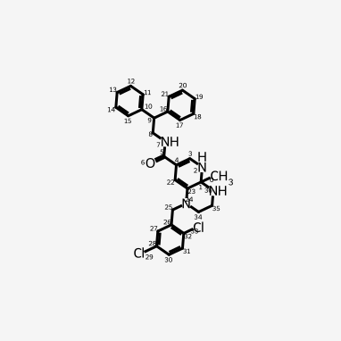 CC12NC=C(C(=O)NCC(c3ccccc3)c3ccccc3)C=C1N(Cc1cc(Cl)ccc1Cl)CCN2